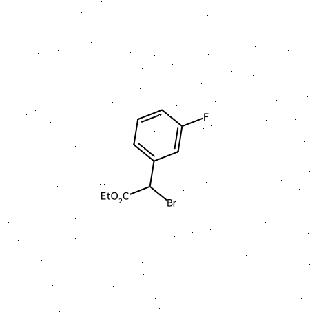 CCOC(=O)C(Br)c1cccc(F)c1